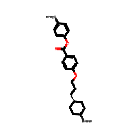 CCCCCCCc1ccc(OC(=O)c2ccc(OCCC[C@H]3CC[C@H](CCCCC)CC3)cc2)cc1